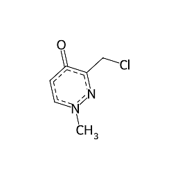 Cn1ccc(=O)c(CCl)n1